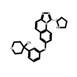 N#CC1(c2cccc(Sc3ccc4c(ccc5nnc([C@@H]6CCCN6)n54)c3)c2)CCOCC1